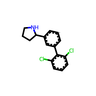 Clc1cccc(Cl)c1-c1c[c]cc(C2CCCN2)c1